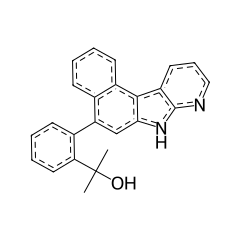 CC(C)(O)c1ccccc1-c1cc2[nH]c3ncccc3c2c2ccccc12